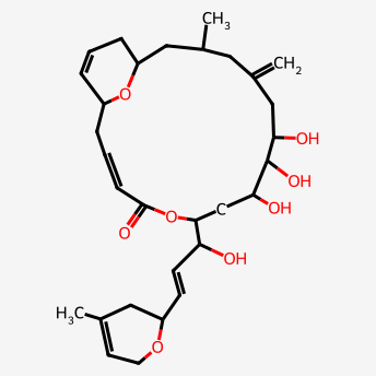 C=C1CC(C)CC2CC=CC(CC=CC(=O)OC(C(O)C=CC3CC(C)=CCO3)CC(O)C(O)C(O)C1)O2